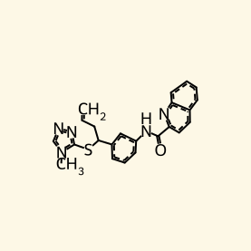 C=CCC(Sc1nncn1C)c1cccc(NC(=O)c2ccc3ccccc3n2)c1